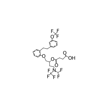 O=C(O)CCC(=O)OC(CCN(C(F)F)C(F)(F)F)COc1ccccc1CCc1cccc(OC(F)(F)F)c1